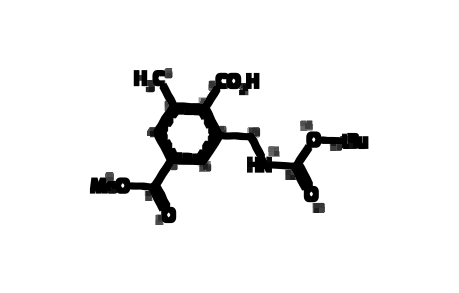 COC(=O)c1cc(C)c(C(=O)O)c(CNC(=O)OC(C)(C)C)c1